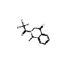 CC1c2ccccc2C(=O)CN1C(=O)C(F)(F)F